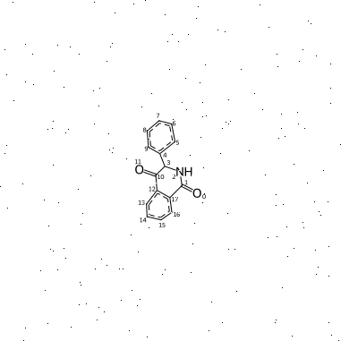 O=C1NC(c2ccccc2)C(=O)c2ccccc21